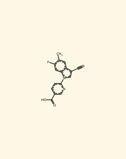 Cc1cc2c(C#N)cn(-c3ccc(C(=O)O)cn3)c2cc1F